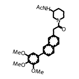 COc1cc(-c2ccc3ccc(CC(=O)N4CCCC(NC(C)=O)C4)cc3c2)cc(OC)c1OC